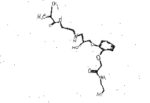 CC(C)C(=O)NCCNCC(O)COc1ccccc1OCC(=O)NCCO